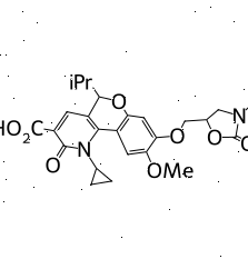 COc1cc2c(cc1OCC1CN(C)C(=O)O1)OC(C(C)C)c1cc(C(=O)O)c(=O)n(C3CC3)c1-2